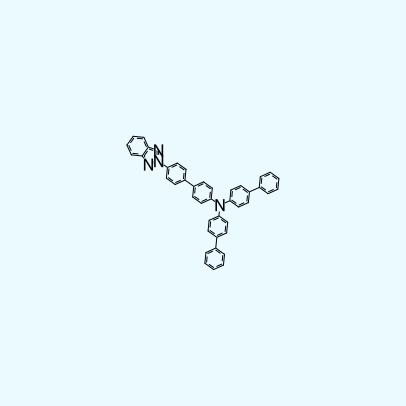 c1ccc(-c2ccc(N(c3ccc(-c4ccccc4)cc3)c3ccc(-c4ccc(-n5nc6ccccc6n5)cc4)cc3)cc2)cc1